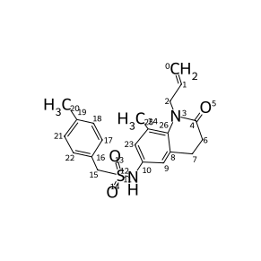 C=CCN1C(=O)CCc2cc(NS(=O)(=O)Cc3ccc(C)cc3)cc(C)c21